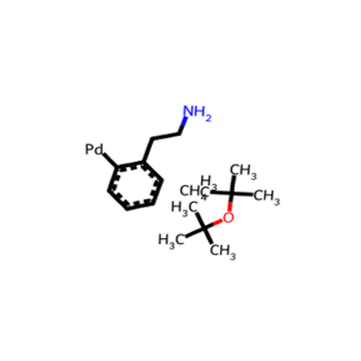 C.CC(C)(C)OC(C)(C)C.NCCc1cccc[c]1[Pd]